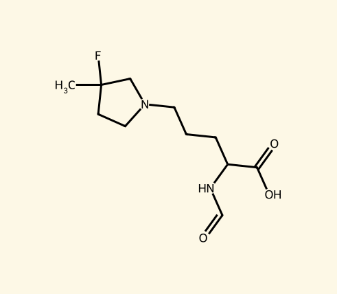 CC1(F)CCN(CCCC(NC=O)C(=O)O)C1